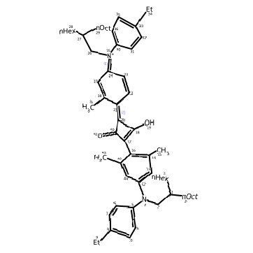 CCCCCCCCC(CCCCCC)CN(c1ccc(CC)cc1)c1cc(C)c(C2=C(O)/C(=C3C=C/C(=[N+](/CC(CCCCCC)CCCCCCCC)c4ccc(CC)cc4)C=C\3C)C2=O)c(C)c1